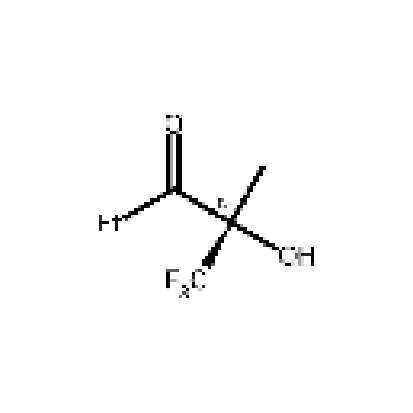 CCC(=O)[C@](C)(O)C(F)(F)F